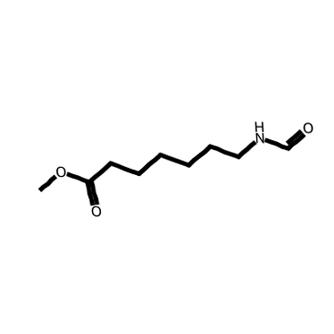 COC(=O)CCCCCCNC=O